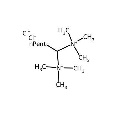 CCCCCC([N+](C)(C)C)[N+](C)(C)C.[Cl-].[Cl-]